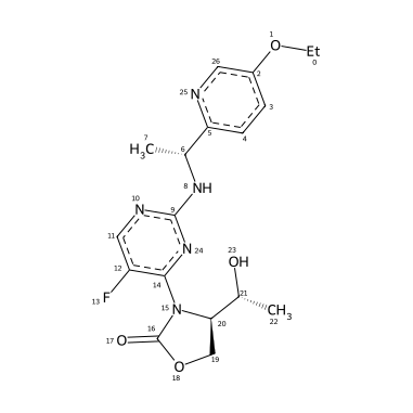 CCOc1ccc([C@@H](C)Nc2ncc(F)c(N3C(=O)OC[C@@H]3[C@@H](C)O)n2)nc1